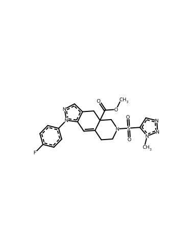 COC(=O)C12Cc3cnn(-c4ccc(F)cc4)c3C=C1CCN(S(=O)(=O)c1cnnn1C)C2